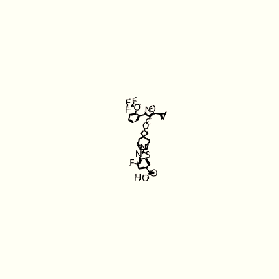 O=C(O)c1cc(F)c2nc(N3C4CCC3CC3(CC(OCc5c(-c6ccccc6OC(F)(F)F)noc5C5CC5)C3)C4)sc2c1